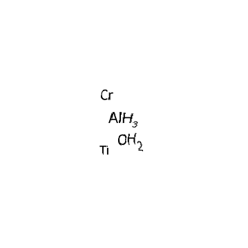 O.[AlH3].[Cr].[Ti]